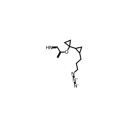 C=C(C=N)OC1(C2CC2CCCN=[N+]=[N-])CC1